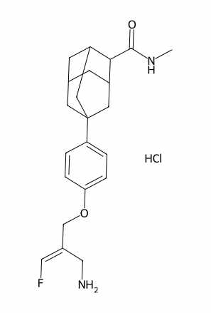 CNC(=O)C1C2CC3CC1CC(c1ccc(OC/C(=C/F)CN)cc1)(C3)C2.Cl